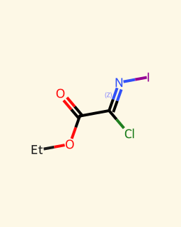 CCOC(=O)/C(Cl)=N/I